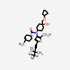 [2H]C([2H])([2H])C(C)(C)C#Cc1cc(N(C(=O)[C@H]2CC=C(C)CC2)C2CCC(O)(COC3CCCC3)CC2)c(C(=O)O)s1